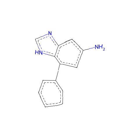 Nc1cc(-c2ccccc2)c2[nH]cnc2c1